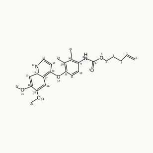 C=CCCCOC(=O)Nc1ccc(Oc2ccnc3cc(OC)c(OC)cc23)c(C)c1C